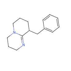 c1ccc(CC2CCCN3CCCN=C23)cc1